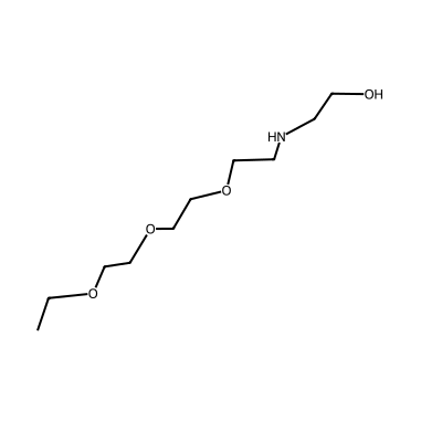 CCOCCOCCOCCNCCO